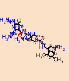 Cc1cc(C)c2c(CCNC(=O)N3CCC4(CC3)CN(N)/C(=N\C(=O)C3=NC(Cl)=C(N=NN)NC3N=NN)N4)cn(N)c2c1